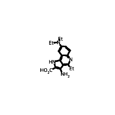 CCc1nc2ccc(N(CC)CC)cc2c2[nH]c(C(=O)O)c(N)c12